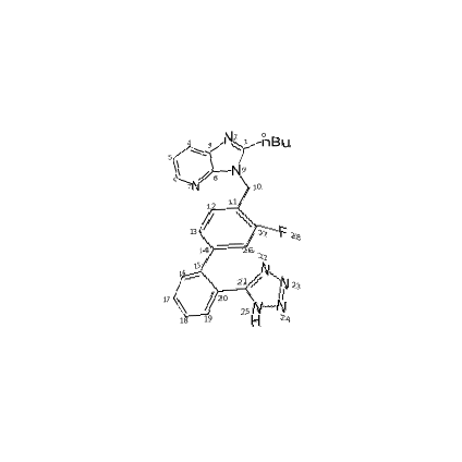 CCCCc1nc2cccnc2n1Cc1ccc(-c2ccccc2-c2nnn[nH]2)cc1F